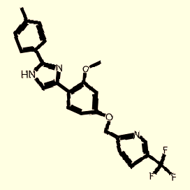 COc1cc(OCc2ccc(C(F)(F)F)cn2)ccc1-c1c[nH]c(-c2ccc(C)cc2)n1